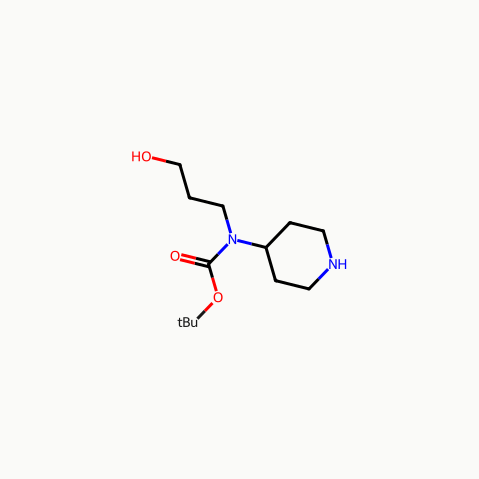 CC(C)(C)OC(=O)N(CCCO)C1CCNCC1